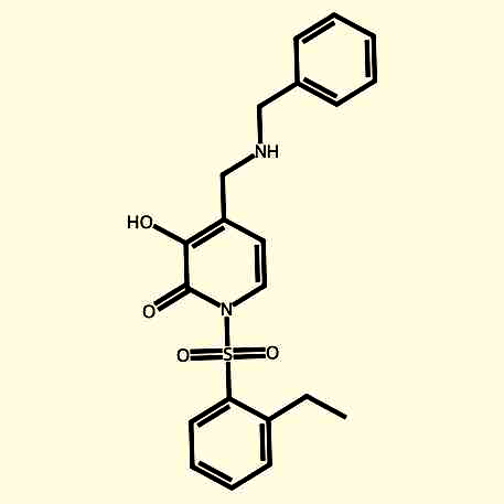 CCc1ccccc1S(=O)(=O)n1ccc(CNCc2ccccc2)c(O)c1=O